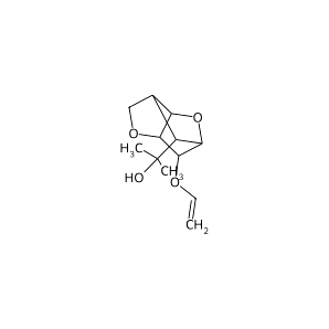 C=COC1C2OCC3C2OC1C3C(C)(C)O